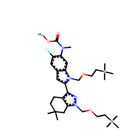 CCCCOC(=O)N(C)c1cc2c(cc1F)cc(-c1nn(COCC[Si](C)(C)C)c3c1CCC(C)(C)C3)n2COCC[Si](C)(C)C